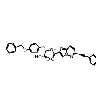 O=C(N[C@@H](Cc1ccc(OCc2ccccc2)cc1)C(=O)O)c1cn2nc(C#Cc3ccccc3)ccc2n1